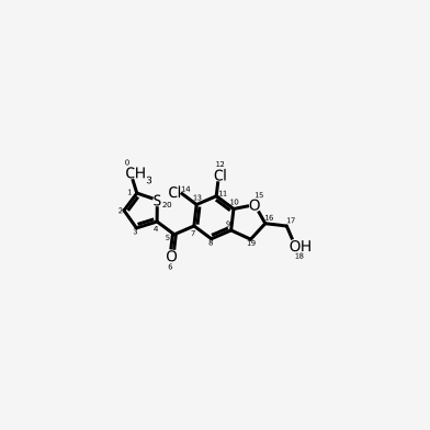 Cc1ccc(C(=O)c2cc3c(c(Cl)c2Cl)OC(CO)C3)s1